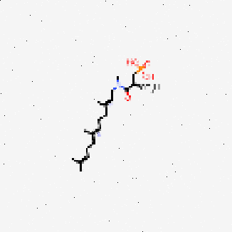 CC(C)=CCC/C(C)=C/CC/C(C)=C/CN(C)C(=O)C(CP(=O)(O)O)C(=O)O